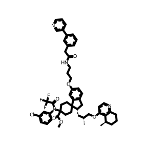 COC(=O)C1(N(C(=O)C(F)(F)F)c2cccc(Cl)c2)CCC2(CC1)c1cc(OCCCNC(=O)Cc3cccc(-c4cccnc4)c3)ccc1C[C@@H]2C[C@@H](C)COc1ccnc2c1[C@H](C)CCC2